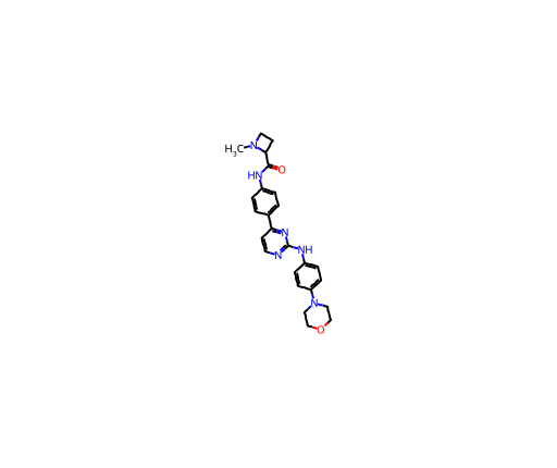 CN1CCC1C(=O)Nc1ccc(-c2ccnc(Nc3ccc(N4CCOCC4)cc3)n2)cc1